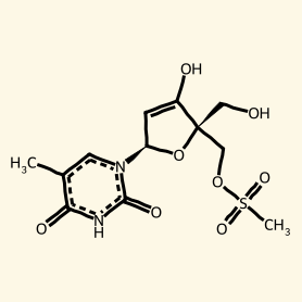 Cc1cn([C@H]2C=C(O)[C@](CO)(COS(C)(=O)=O)O2)c(=O)[nH]c1=O